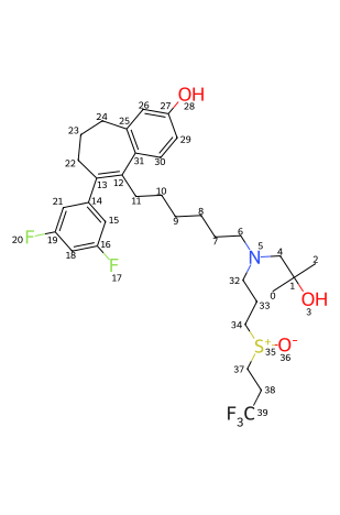 CC(C)(O)CN(CCCCCCC1=C(c2cc(F)cc(F)c2)CCCc2cc(O)ccc21)CCC[S+]([O-])CCC(F)(F)F